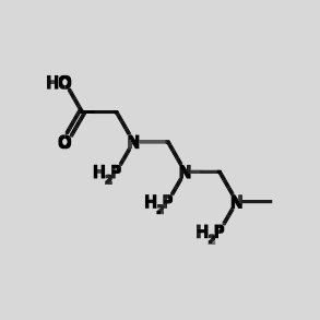 CN(P)CN(P)CN(P)CC(=O)O